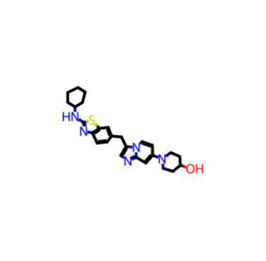 OC1CCN(c2ccn3c(Cc4ccc5nc(NC6CCCCC6)sc5c4)cnc3c2)CC1